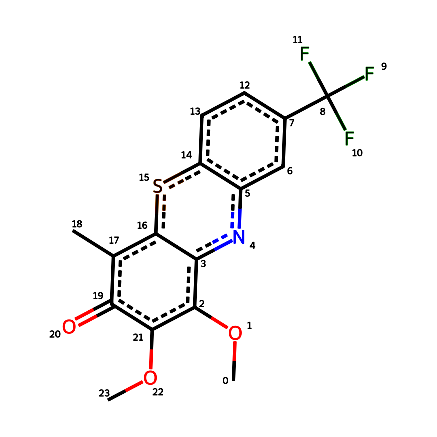 COc1c2nc3cc(C(F)(F)F)ccc3sc-2c(C)c(=O)c1OC